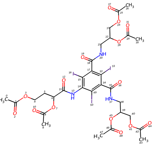 CC(=O)OCCC(OC(C)=O)C(=O)Nc1c(I)c(C(=O)NCC(COC(C)=O)OC(C)=O)c(I)c(C(=O)NCC(COC(C)=O)OC(C)=O)c1I